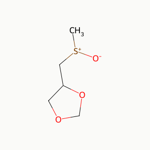 C[S+]([O-])CC1COCO1